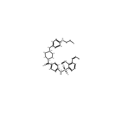 C=Nc1c(/C=C\C)cccc1S(=O)(=O)Nc1ccc(C(=O)N2CCN(Cc3ccc(OCCC)cc3)CC2)cc1